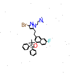 CN(C)CCn1nc(Br)cc1CCc1cc(O[Si](c2ccccc2)(c2ccccc2)C(C)(C)C)c2ccc(F)cc2c1